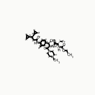 CCOC(=O)N[C@@H](CF)C(=O)N[C@@H](C(=O)N1CCN(C)CC1)[C@@H](C)c1ccc(NC(=O)CC(C2CC2)C2CC2)c(F)c1